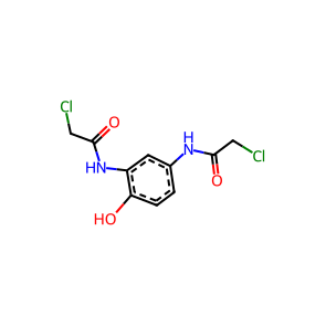 O=C(CCl)Nc1ccc(O)c(NC(=O)CCl)c1